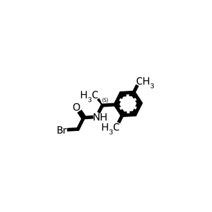 Cc1ccc(C)c([C@H](C)NC(=O)CBr)c1